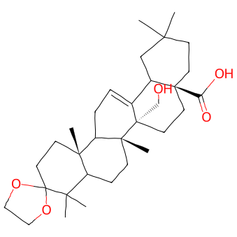 CC1(C)CC[C@]2(C(=O)O)CC[C@]3(CO)C(=CCC4[C@@]5(C)CCC6(OCCO6)C(C)(C)C5CC[C@]43C)C2C1